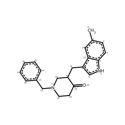 Cc1ccc2[nH]cc(CC3CN(Cc4ccccc4)CCC3=O)c2c1